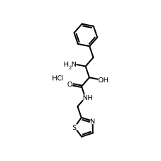 Cl.NC(Cc1ccccc1)C(O)C(=O)NCc1nccs1